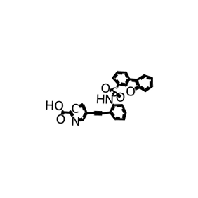 O=C(O)c1ccc(C#Cc2ccccc2NS(=O)(=O)c2cccc3c2oc2ccccc23)cn1